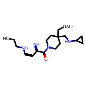 COCC1(CNC2CC2)CCN(C(=O)C(=N)/C=C\NCCC#N)CC1